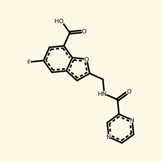 O=C(NCc1cc2cc(F)cc(C(=O)O)c2o1)c1cnccn1